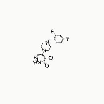 O=c1[nH]ncc(N2CCN(Cc3ccc(F)cc3F)CC2)c1Cl